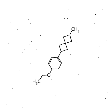 CCOc1ccc(C2CC3(CC(C)C3)C2)cc1